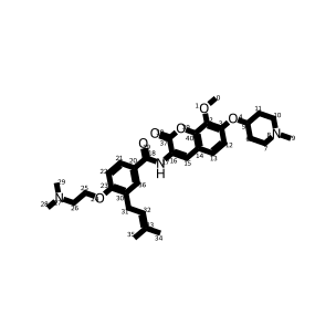 COc1c(OC2CCN(C)CC2)ccc2cc(NC(=O)c3ccc(OCCN(C)C)c(CC=C(C)C)c3)c(=O)oc12